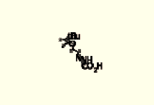 CC(C)(C)[Si](C)(C)OC/C=N/NC(=O)O